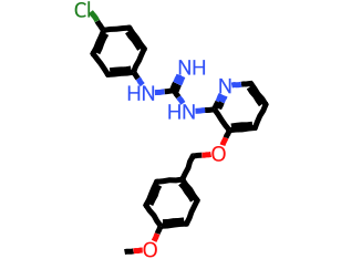 COc1ccc(COc2cccnc2NC(=N)Nc2ccc(Cl)cc2)cc1